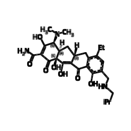 CCc1cc(CNCC(C)C)c(O)c2c1C[C@H]1C[C@@H]3[C@H](N(C)C)C(O)=C(C(N)=O)C(=O)[C@@]3(O)C(O)=C1C2=O